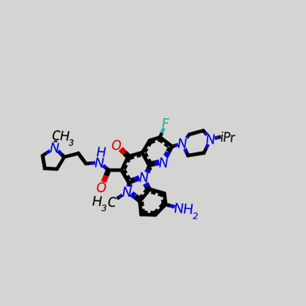 CC(C)N1CCN(c2nc3c(cc2F)c(=O)c(C(=O)NCCC2CCCN2C)c2n(C)c4ccc(N)cc4n32)CC1